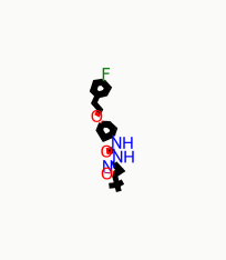 CC(C)(C)c1cc(NC(=O)Nc2ccc(OCCc3ccc(F)cc3)cc2)no1